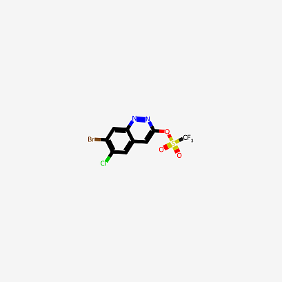 O=S(=O)(Oc1cc2cc(Cl)c(Br)cc2nn1)C(F)(F)F